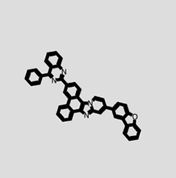 c1ccc(-c2nc(-c3ccc4c(c3)c3ccccc3c3nc5cc(-c6ccc7oc8ccccc8c7c6)ccn5c43)nc3ccccc23)cc1